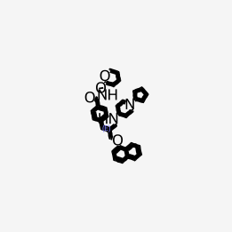 O=C(NOC1CCCCO1)c1ccc(/C=C(\CNC2CCN(C3CCCC3)CC2)COc2cccc3ccccc23)cc1